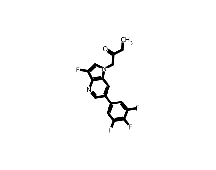 CCC(=O)Cn1cc(F)c2ncc(-c3cc(F)c(F)c(F)c3)cc21